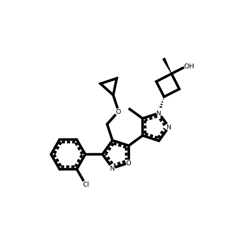 Cc1c(-c2onc(-c3ccccc3Cl)c2COC2CC2)cnn1[C@H]1C[C@@](C)(O)C1